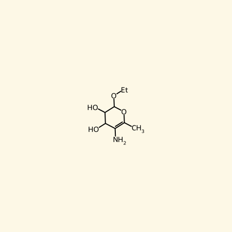 CCOC1OC(C)=C(N)C(O)C1O